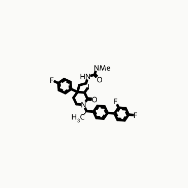 CNC(=O)NCCC1(c2ccc(F)cc2)CCN([C@@H](C)c2ccc(-c3ccc(F)cc3F)cc2)C(=O)C1I